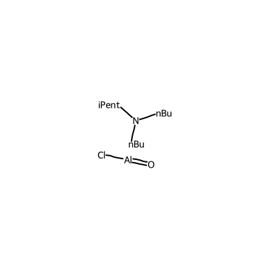 CCCCN(CCCC)C(C)CCC.[O]=[Al][Cl]